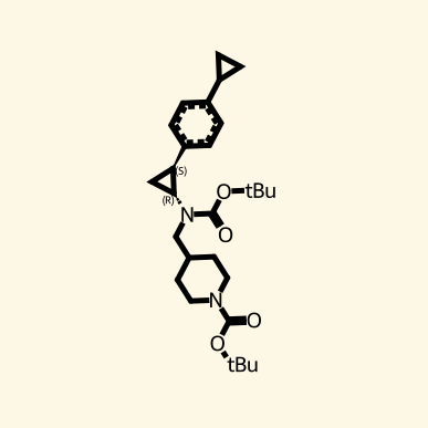 CC(C)(C)OC(=O)N1CCC(CN(C(=O)OC(C)(C)C)[C@@H]2C[C@H]2c2ccc(C3CC3)cc2)CC1